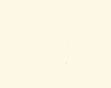 CCC(=O)C1C=CC=CC1(C)CO